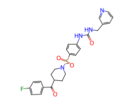 O=C(NCc1cccnc1)Nc1ccc(S(=O)(=O)N2CCC(C(=O)c3ccc(F)cc3)CC2)cc1